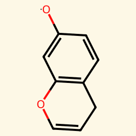 [O]c1ccc2c(c1)OC=CC2